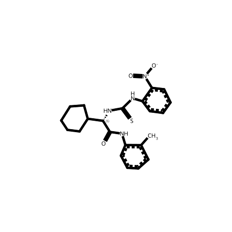 Cc1ccccc1NC(=O)[C@@H](NC(=S)Nc1ccccc1[N+](=O)[O-])C1CCCCC1